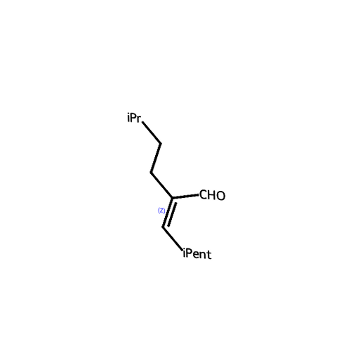 CCCC(C)/C=C(\C=O)CCC(C)C